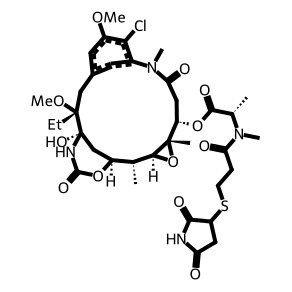 CC[C@@]1(OC)Cc2cc(OC)c(Cl)c(c2)N(C)C(=O)C[C@H](OC(=O)[C@H](C)N(C)C(=O)CCSC2CC(=O)NC2=O)[C@]2(C)O[C@H]2[C@H](C)[C@@H]2C[C@@]1(O)NC(=O)O2